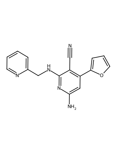 N#Cc1c(-c2ccco2)cc(N)nc1NCc1ccccn1